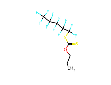 CCCOC(=S)SC(F)(F)C(F)(F)C(F)(F)C(F)(F)C(F)(F)F